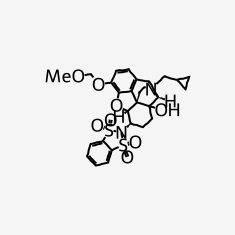 COCOc1ccc2c3c1O[C@H]1[C@H](N4S(=O)(=O)c5ccccc5S4(=O)=O)CCC4(O)[C@@H](C2)N(CC2CC2)CC[C@]314